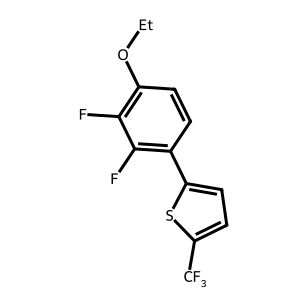 CCOc1ccc(-c2ccc(C(F)(F)F)s2)c(F)c1F